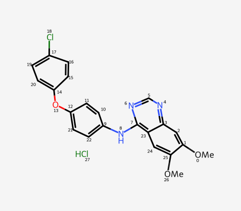 COc1cc2ncnc(Nc3ccc(Oc4ccc(Cl)cc4)cc3)c2cc1OC.Cl